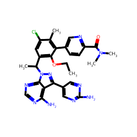 CCOc1c(C(C)n2nc(-c3cnc(N)nc3)c3c(N)ncnc32)cc(Cl)c(C)c1-c1ccc(C(=O)N(C)C)nc1